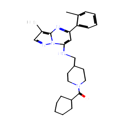 Bc1cnn2c(NCC3CCN(C(=O)C4CCCCC4)CC3)cc(-c3ccccc3C)nc12